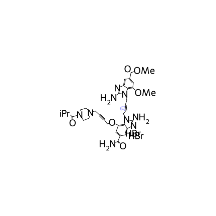 Br.Br.COC(=O)c1cc(OC)c2c(c1)nc(N)n2C/C=C/Cn1c(N)nc2cc(C(N)=O)cc(OCC#CCN3CCN(C(=O)C(C)C)CC3)c21